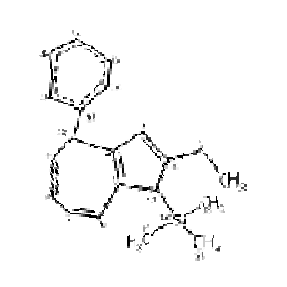 CCC1=CC2=C(C=CC=CC2c2ccccc2)C1[Si](C)(C)C